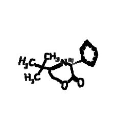 CC(C)(C)C1=N[C@H](c2ccccc2)C(=O)OC1